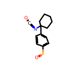 O=C=NC1(c2ccc(P=O)cc2)CCCCC1